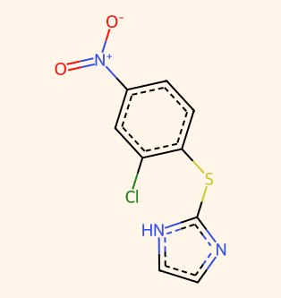 O=[N+]([O-])c1ccc(Sc2ncc[nH]2)c(Cl)c1